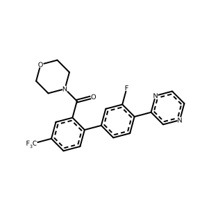 O=C(c1cc(C(F)(F)F)ccc1-c1ccc(-c2cnccn2)c(F)c1)N1CCOCC1